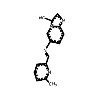 Cc1cccc(/C=N/c2ccc3ncc(C#N)n3c2)n1